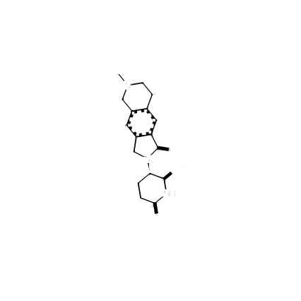 CN1CCc2cc3c(cc2C1)CN([C@@H]1CCC(=O)NC1=O)C3=O